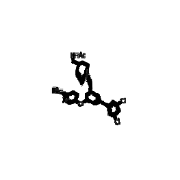 CC(=O)NCC1CCN(Cc2cc(Oc3ccc(Br)nc3)cc(-c3cc(Cl)cc(Cl)c3)c2)CC1